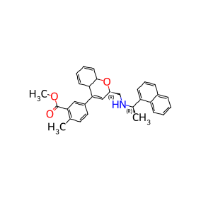 COC(=O)c1cc(C2=C[C@H](CN[C@H](C)c3cccc4ccccc34)OC3C=CC=CC23)ccc1C